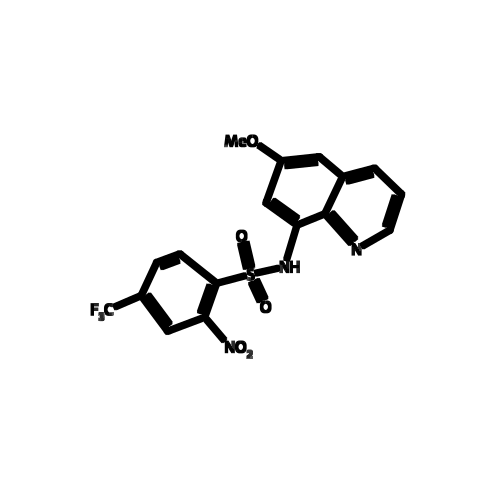 COc1cc(NS(=O)(=O)c2ccc(C(F)(F)F)cc2[N+](=O)[O-])c2ncccc2c1